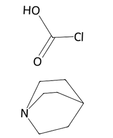 C1CN2CCC1CC2.O=C(O)Cl